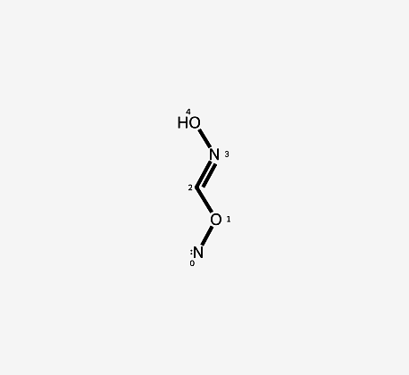 [N]O/C=N/O